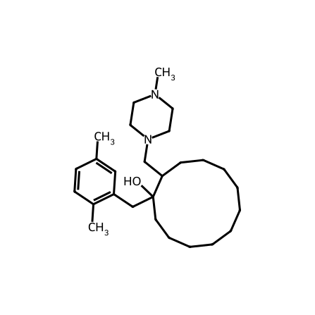 Cc1ccc(C)c(CC2(O)CCCCCCCCCCC2CN2CCN(C)CC2)c1